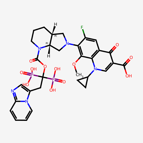 COc1c(N2C[C@H]3CCCN(C(=O)OC(Cc4cnc5ccccn45)(P(=O)(O)O)P(=O)(O)O)[C@H]3C2)c(F)cc2c(=O)c(C(=O)O)cn(C3CC3)c12